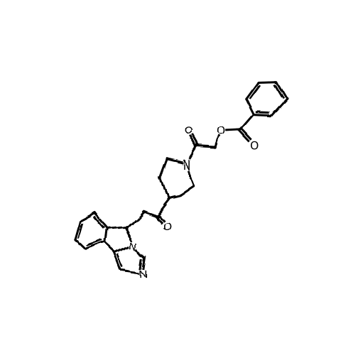 O=C(OCC(=O)N1CCC(C(=O)CC2c3ccccc3-c3cncn32)CC1)c1ccccc1